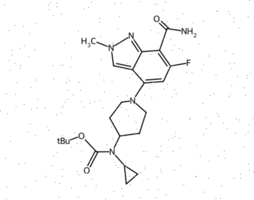 Cn1cc2c(N3CCC(N(C(=O)OC(C)(C)C)C4CC4)CC3)cc(F)c(C(N)=O)c2n1